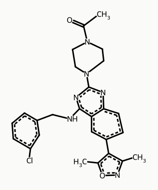 CC(=O)N1CCN(c2nc(NCc3cccc(Cl)c3)c3cc(-c4c(C)noc4C)ccc3n2)CC1